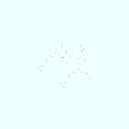 N#Cc1ccc2c(c1)c1ccccc1n2-c1ccc(C#N)c(-c2ccc(-c3ccccc3-n3c4ccccc4c4cc(C#N)ccc43)cc2)c1